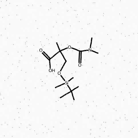 CN(C)C(=O)OC(C)(CO[Si](C)(C)C(C)(C)C)C(=O)O